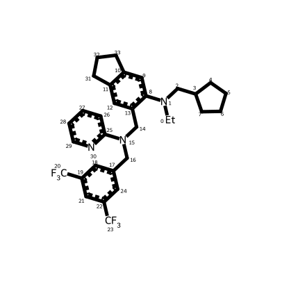 CCN(CC1CCCC1)c1cc2c(cc1CN(Cc1cc(C(F)(F)F)cc(C(F)(F)F)c1)c1ccccn1)CCC2